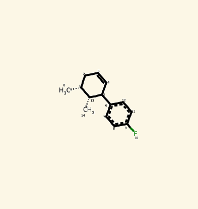 C[C@@H]1CC=CC(c2ccc(F)cc2)[C@@H]1C